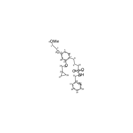 COCCOc1ccc(CCCS(=O)(=O)NCc2ccccn2)c(OCC2CC2)c1